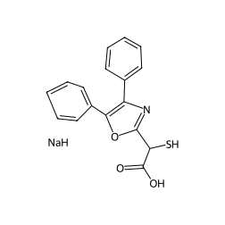 O=C(O)C(S)c1nc(-c2ccccc2)c(-c2ccccc2)o1.[NaH]